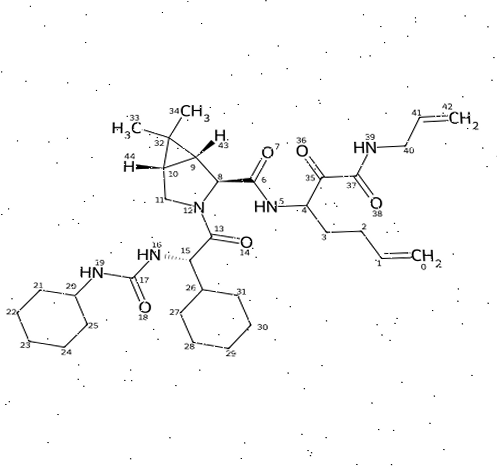 C=CCCC(NC(=O)[C@@H]1[C@@H]2[C@H](CN1C(=O)[C@@H](NC(=O)NC1CCCCC1)C1CCCCC1)C2(C)C)C(=O)C(=O)NCC=C